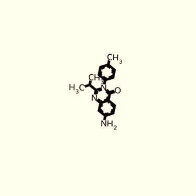 Cc1ccc(-n2c(C(C)C)nc3cc(N)ccc3c2=O)cc1